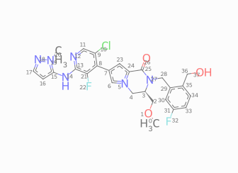 COC[C@H]1Cn2cc(-c3c(Cl)cnc(Nc4ccnn4C)c3F)cc2C(=O)N1Cc1cc(F)ccc1CO